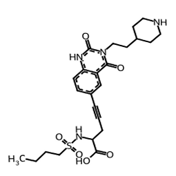 CCCCS(=O)(=O)NC(CC#Cc1ccc2[nH]c(=O)n(CCC3CCNCC3)c(=O)c2c1)C(=O)O